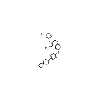 C=C1c2cc(Sc3cnc(N4CCC5(CCCC5)CC4)cn3)ccc2N=CN1Cc1cccc(C#N)c1